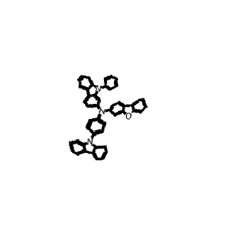 c1ccc(-n2c3ccccc3c3ccc(N(c4ccc(-n5c6ccccc6c6ccccc65)cc4)c4ccc5c(c4)oc4ccccc45)cc32)cc1